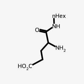 CCCCCCNC(=O)C(N)CCC(=O)O